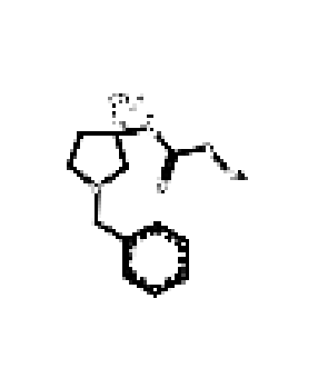 CC(C)(C)OC(=O)N[C@]1(C(=O)O)CCN(Cc2ccccc2)C1